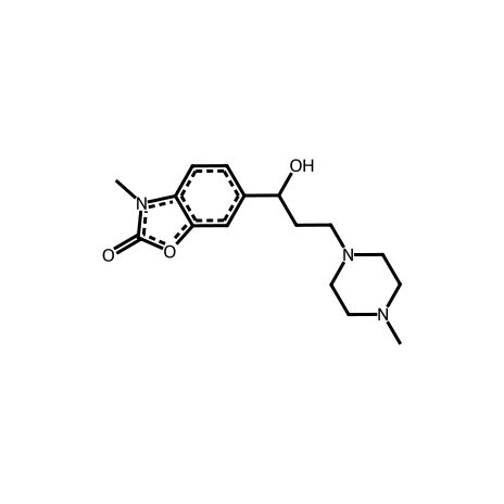 CN1CCN(CCC(O)c2ccc3c(c2)oc(=O)n3C)CC1